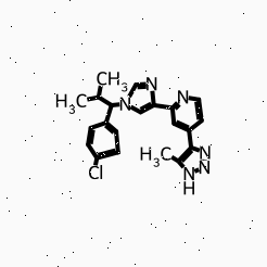 Cc1[nH]nnc1-c1ccnc(-c2cn(C(c3ccc(Cl)cc3)C(C)C)cn2)c1